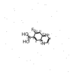 OB(O)c1cc2nccnc2cc1F